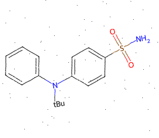 CC(C)(C)N(c1ccccc1)c1ccc(S(N)(=O)=O)cc1